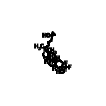 C[C@H](CCCC1(O)CC1)[C@H]1CC[C@H]2[C@@H]3CC[C@H]4C[C@](O)(C(F)(F)F)CC[C@@H]4[C@H]3CC[C@]12C